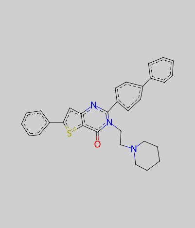 O=c1c2sc(-c3ccccc3)cc2nc(-c2ccc(-c3ccccc3)cc2)n1CCN1CCCCC1